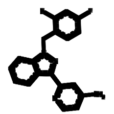 Nc1ccnc(-c2nn(Cc3ccc(F)cc3F)c3ccccc23)c1